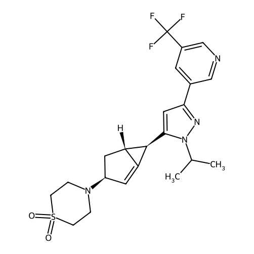 CC(C)n1nc(-c2cncc(C(F)(F)F)c2)cc1[C@H]1C2=C[C@@H](N3CCS(=O)(=O)CC3)C[C@@H]21